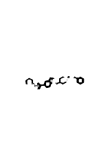 O=C(OCc1ccccc1)N1CCC(Cn2ccc3cc(-c4cnn(C5CCCCO5)c4)ccc32)CC1